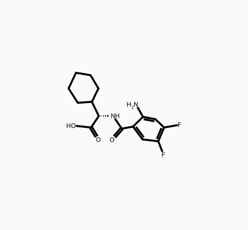 Nc1cc(F)c(F)cc1C(=O)N[C@H](C(=O)O)C1CCCCC1